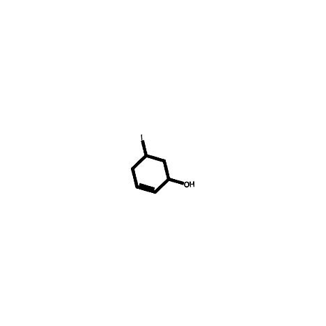 OC1C=CCC(I)C1